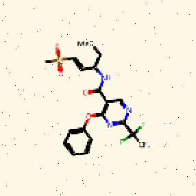 COCC(C=CS(C)(=O)=O)NC(=O)c1cnc(C(F)(F)C(F)(F)F)nc1Oc1ccccc1